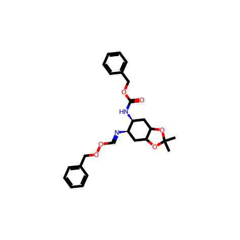 CC1(C)OC2C[C@H](NC(=O)OCc3ccccc3)[C@H](N=COOCc3ccccc3)CC2O1